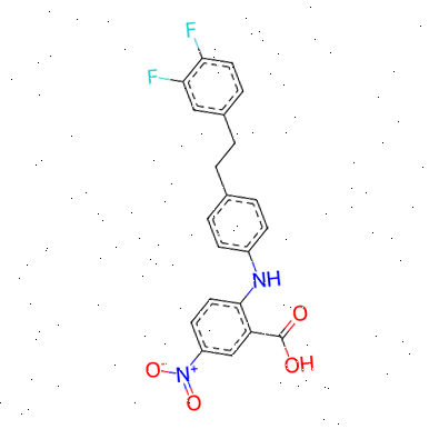 O=C(O)c1cc([N+](=O)[O-])ccc1Nc1ccc(CCc2ccc(F)c(F)c2)cc1